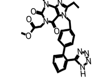 CCc1nc2c(c(=O)n(CC(=O)OC)c(=O)n2C)n1Cc1ccc(-c2ccccc2-c2nnn[nH]2)cc1